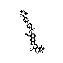 C=CCc1c(OC(=O)N2CCN(c3ncc(C(=O)NO)cn3)CC2)ccc2nc3c(cc12)Cn1c-3cc2c(c1=O)COC(=O)[C@]2(O)CC